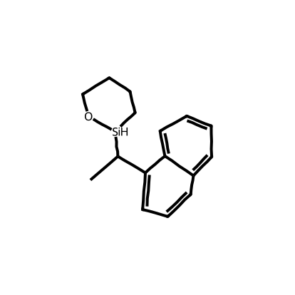 CC(c1cccc2ccccc12)[SiH]1CCCCO1